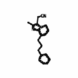 Cc1nc2c(CCCc3ccccc3)cccn2c1CC#N